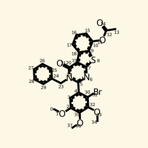 COc1cc(-c2nc3sc4c(OC(C)=O)cccc4c3c(=O)n2Cc2ccccc2)c(Br)c(OC)c1OC